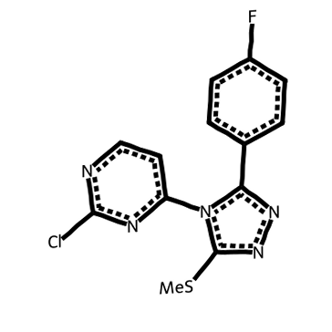 CSc1nnc(-c2ccc(F)cc2)n1-c1ccnc(Cl)n1